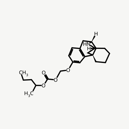 CCCC(C)OC(=O)OCOc1ccc2c(c1)[C@@]13CCCC[C@H]1[C@@H](C2)NCC3